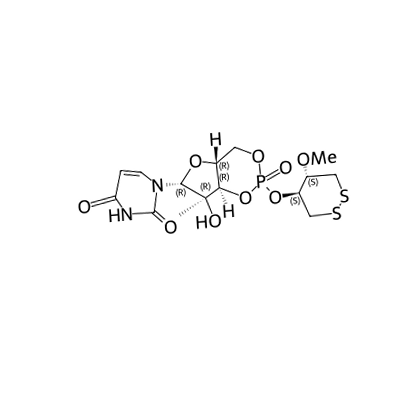 CO[C@@H]1CSSC[C@H]1OP1(=O)OC[C@H]2O[C@@H](n3ccc(=O)[nH]c3=O)[C@](C)(O)[C@@H]2O1